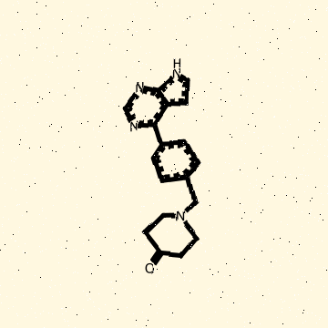 O=C1CCN(Cc2ccc(-c3ncnc4[nH]ccc34)cc2)CC1